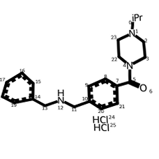 CC(C)N1CCN(C(=O)c2ccc(CNCc3ccccc3)cc2)CC1.Cl.Cl